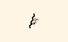 CCCCCCCC.OSO